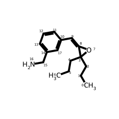 CCCC1(CCC)OC1=Cc1cccc(CN)c1